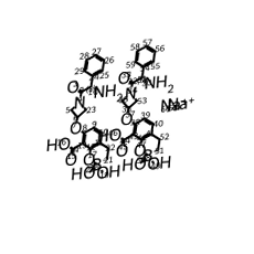 N[C@H](C(=O)N1CC(Oc2ccc3c(c2C(=O)O)O[B-](O)(O)CC3)C1)c1ccccc1.N[C@H](C(=O)N1CC(Oc2ccc3c(c2C(=O)O)O[B-](O)(O)CC3)C1)c1ccccc1.[Na+].[Na+]